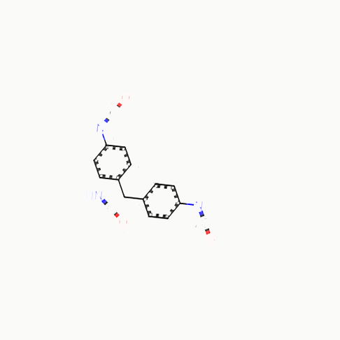 N=C=O.O=C=Nc1ccc(Cc2ccc(N=C=O)cc2)cc1